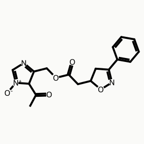 CC(=O)C1C(COC(=O)CC2CC(c3ccccc3)=NO2)=NC=[N+]1[O-]